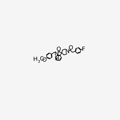 COc1ccc(CNC(=O)C2(c3ccccc3)CCN(C(=O)Cc3ccc(F)cc3)CC2)cc1